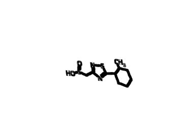 CC1CCCCC1c1nc(CS(=O)O)ns1